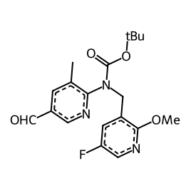 COc1ncc(F)cc1CN(C(=O)OC(C)(C)C)c1ncc(C=O)cc1C